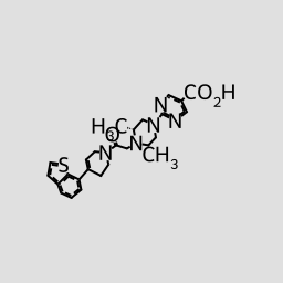 C[C@@H]1CN(c2ncc(C(=O)O)cn2)C[C@H](C)N1CC(=O)N1CC=C(c2cccc3ccsc23)CC1